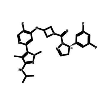 Cc1c(NC(C)C)nn(C)c1-c1cc(OC2CN(C(=O)N3N=CC[C@H]3c3cc(F)cc(F)c3)C2)c(F)cn1